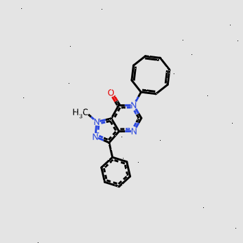 Cn1nc(-c2ccccc2)c2ncn(C3=CC=CC=CC=C3)c(=O)c21